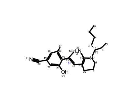 CCCC[C@H](CC)N1CCCC(/C=C(\C)c2c(C)cc(C#N)cc2O)=C1N